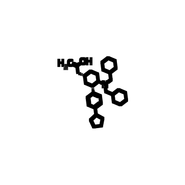 C=C(O)C[C@@H]1CC[C@@H](N(CC2CCCCC2)CC2CCCCC2)[C@H](c2ccc(C3CCCC3)cc2)C1